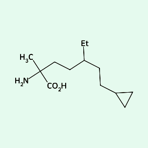 CCC(CCC1CC1)CCC(C)(N)C(=O)O